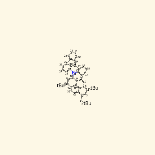 CC(C)(C)Cc1cc(C(C)(C)C)c2ccc3c(N4c5ccccc5B5c6ccccc6-c6cccc4c65)cc(C(C)(C)C)c4ccc1c2c34